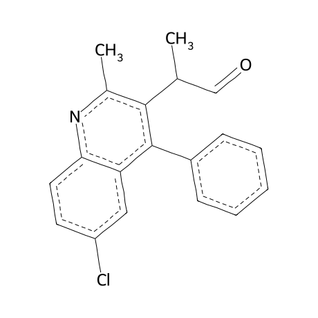 Cc1nc2ccc(Cl)cc2c(-c2ccccc2)c1C(C)C=O